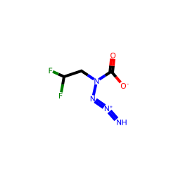 N=[N+]=NN(CC(F)F)C(=O)[O-]